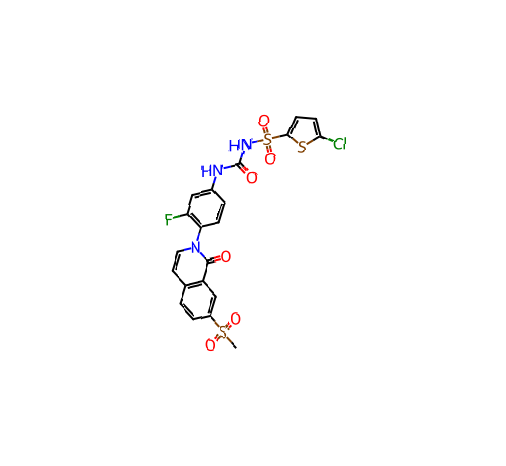 CS(=O)(=O)c1ccc2ccn(-c3ccc(NC(=O)NS(=O)(=O)c4ccc(Cl)s4)cc3F)c(=O)c2c1